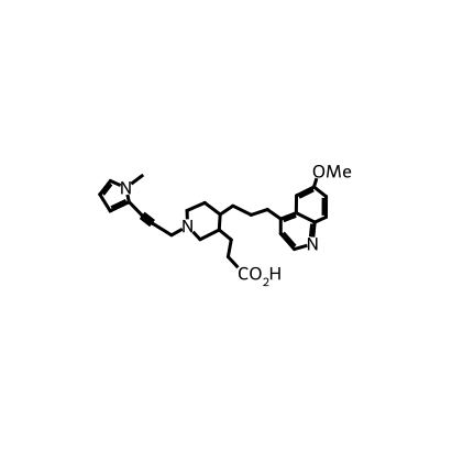 COc1ccc2nccc(CCCC3CCN(CC#Cc4cccn4C)CC3CCC(=O)O)c2c1